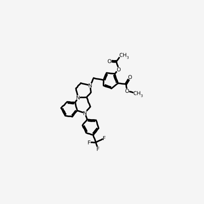 COC(=O)c1ccc(CN2CCN3c4ccccc4N(c4ccc(C(F)(F)F)cc4)CC3C2)cc1OC(C)=O